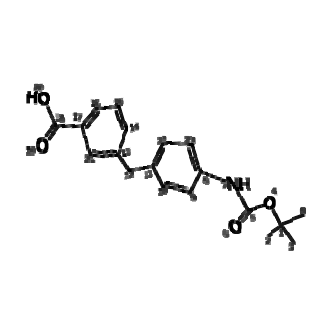 CC(C)(C)OC(=O)Nc1ccc(Cc2cccc(C(=O)O)c2)cc1